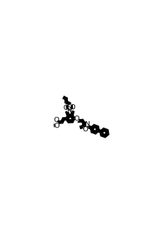 CCCCS(=O)(=O)N1Cc2c(CCC(=O)OC)ccc(OCCc3nc(-c4ccc(-c5ccccc5)cc4)oc3C)c2C1